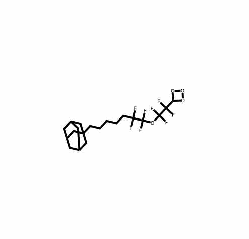 FC(F)(CCCCCC12CC3CC(CC(C3)C1)C2)C(F)(F)OC(F)(F)C(F)(F)C1OOO1